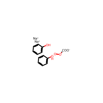 O=C([O-])O[O-].Oc1ccccc1.Oc1ccccc1.[Na+].[Na+]